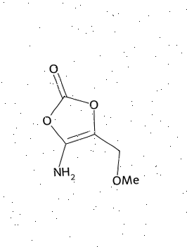 COCc1oc(=O)oc1N